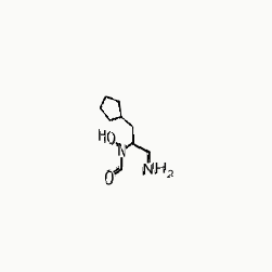 NCC(CC1CCCC1)N(O)C=O